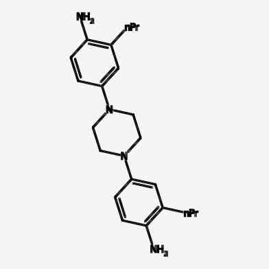 CCCc1cc(N2CCN(c3ccc(N)c(CCC)c3)CC2)ccc1N